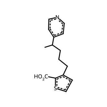 CC(CCCc1ccsc1C(=O)O)c1ccncc1